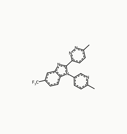 Cc1ccc(-n2c(-c3ccc(C)nn3)nc3cc(C(F)(F)F)ccc32)cn1